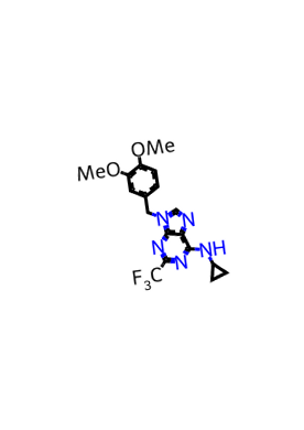 COc1ccc(Cn2cnc3c(NC4CC4)nc(C(F)(F)F)nc32)cc1OC